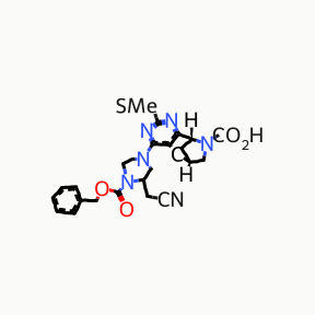 CSc1nc2c(c(N3CCN(C(=O)OCc4ccccc4)C(CC#N)C3)n1)C[C@@H]1C[C@H]2N(C(=O)O)C1